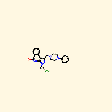 Cl.Cn1nc(CN2CCN(c3ccccc3)CC2)c2c3ccccc3c(=O)[nH]c21